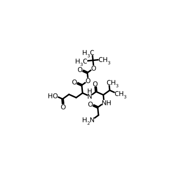 CC(C)C(NC(=O)CN)C(=O)NC(CCC(=O)O)C(=O)OC(=O)OC(C)(C)C